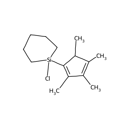 CC1=C(C)C(C)C([Si]2(Cl)CCCCC2)=C1C